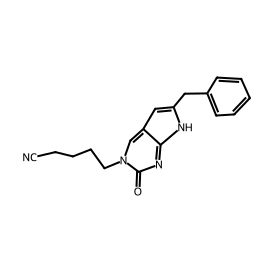 N#CCCCCn1cc2cc(Cc3ccccc3)[nH]c2nc1=O